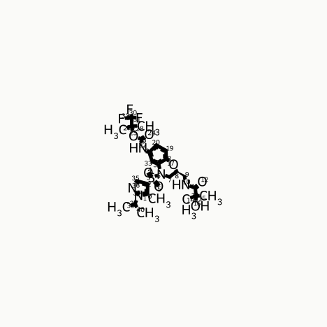 Cc1c(S(=O)(=O)N2C[C@H](CNC(=O)C(C)(C)O)Oc3ccc(NC(=O)OC(C)(C)C(F)(F)F)cc32)cnn1C(C)C